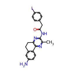 Cc1nc2c(nc1NC(=O)Cc1ccc(I)cc1)CCc1cc(N)ccc1-2